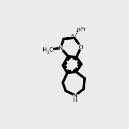 CCC[C@H]1CN(C)c2cc3c(cc2O1)CCNCC3